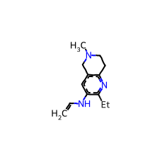 C=CNc1cc2c(nc1CC)CCN(C)C2